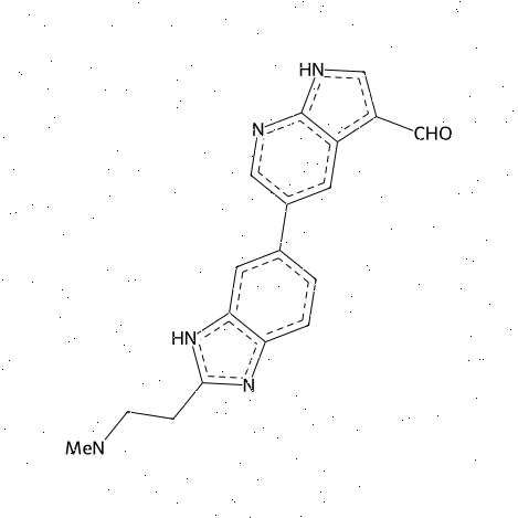 CNCCc1nc2ccc(-c3cnc4[nH]cc(C=O)c4c3)cc2[nH]1